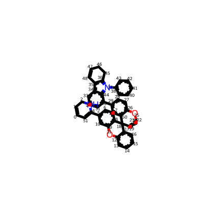 C1=CCNC(c2ccc3c(c2)Oc2ccccc2C32c3ccccc3Oc3ccc(-c4cccc5c6c(n(-c7ccccc7)c45)CCC=C6)cc32)=C1